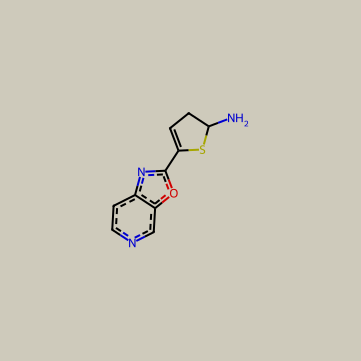 NC1CC=C(c2nc3ccncc3o2)S1